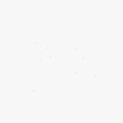 CC(C)(C)OC(=O)/N=C(\NC(=O)OC(C)(C)C)Nc1cc(N2C(=S)N(c3ccc(C#N)c(C(F)(F)F)c3)C(=O)C2(C)C)ccc1Cl